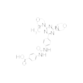 C[C@H]1COCCN1c1nc(-c2ccc(NC(=O)Nc3ccc(C(=O)O)cc3)cc2)nc(N2C3CCC2COC3)n1